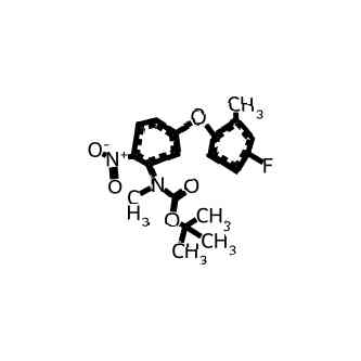 Cc1cc(F)ccc1Oc1ccc([N+](=O)[O-])c(N(C)C(=O)OC(C)(C)C)c1